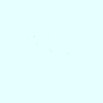 C1=CC2c3ccccc3N(c3cc(N(c4ccc(-c5ccccc5)cc4)c4ccc5c(c4)oc4ccccc45)c4oc5ccccc5c4c3)C2C=C1